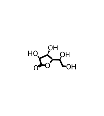 O=C1OC([C@H](O)CO)[C@H](O)[C@@H]1O